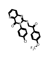 O=C(CSc1nc2cccnc2c(=O)n1-c1ccc(Cl)cc1)c1ccc(OC(F)(F)F)cc1